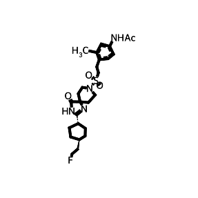 CC(=O)Nc1ccc(CCS(=O)(=O)N2CCC3(CC2)N=C([C@H]2CC[C@H](CCF)CC2)NC3=O)c(C)c1